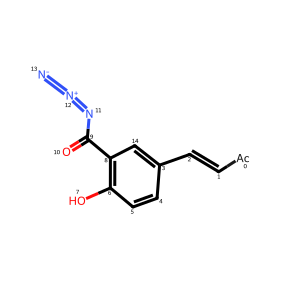 CC(=O)/C=C/c1ccc(O)c(C(=O)N=[N+]=[N-])c1